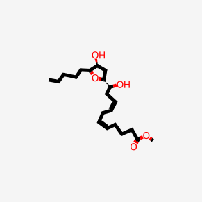 CCCCCC1O[C@@H](C(O)C/C=C\C/C=C\CCCC(=O)OC)C[C@@H]1O